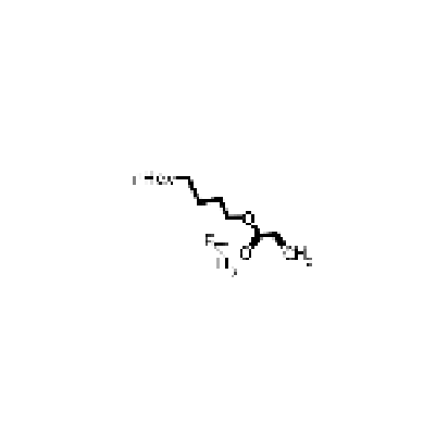 C=CC(=O)OCCCCCCCCCC.CF